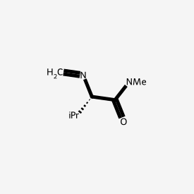 C=N[C@H](C(=O)NC)C(C)C